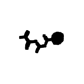 C=C(C)C(=O)OC(C)OC(=O)[C]12[CH]3[CH]4[CH]5[CH]1[Fe]45321678[CH]2[CH]1[CH]6[CH]7[CH]28